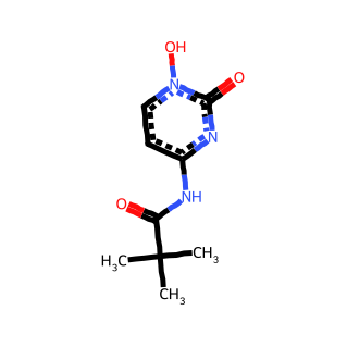 CC(C)(C)C(=O)Nc1ccn(O)c(=O)n1